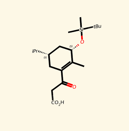 CC1=C(C(=O)CC(=O)O)C[C@H](C(C)C)C[C@@H]1O[Si](C)(C)C(C)(C)C